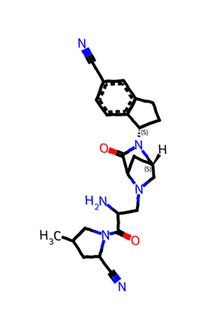 CC1CC(C#N)N(C(=O)C(N)CN2C[C@@H]3CC2C(=O)N3[C@H]2CCc3cc(C#N)ccc32)C1